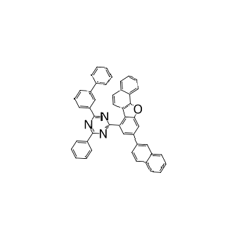 c1ccc(-c2cccc(-c3nc(-c4ccccc4)nc(-c4cc(-c5ccc6ccccc6c5)cc5oc6c7ccccc7ccc6c45)n3)c2)cc1